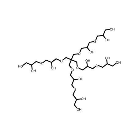 OCC(O)CSCC(O)COCC(COCC(O)CSCC(O)CO)(COCC(O)CSCC(O)CO)COCC(O)CSCC(O)CO